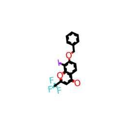 O=c1cc(C(F)(F)F)oc2c(I)c(OCc3ccccc3)ccc12